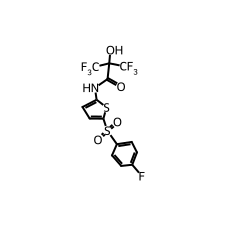 O=C(Nc1ccc(S(=O)(=O)c2ccc(F)cc2)s1)C(O)(C(F)(F)F)C(F)(F)F